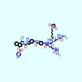 CN1CCN(C(=O)Oc2cc3c(c4ccccc24)[C@H](CCl)CN3C(=O)c2cc3cc(NC(=O)c4ccc(NC(=O)[C@H](CCCNC(N)=O)NC(=O)[C@H](CCCNC(N)=O)NC(=O)CCCCCN5C(=O)C=CC5=O)cc4)ccc3[nH]2)CC1